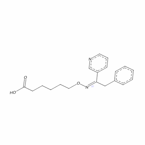 O=C(O)CCCCCO/N=C(/Cc1ccccc1)c1cccnc1